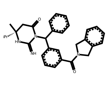 CC(C)[C@]1(C)CC(=O)N(C(c2ccccc2)c2cccc(C(=O)N3Cc4ccccc4C3)c2)C(=N)N1